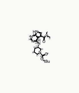 CN(C)C(=O)c1c[nH]c2ncnc(N[C@@H]3CCCN(C(=O)OC(C)(C)C)C3)c12